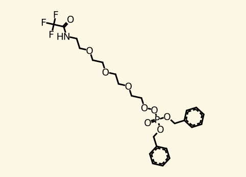 O=C(NCCOCCOCCOCCOOP(=O)(OCc1ccccc1)OCc1ccccc1)C(F)(F)F